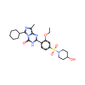 CCOc1cc(S(=O)(=O)N2CCC(O)CC2)ccc1-c1nc2c(C)nc(C3CCCCC3)n2c(=O)[nH]1